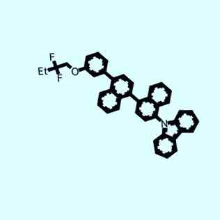 CCC(F)(F)COc1cccc(-c2ccc(-c3ccc(-n4c5ccccc5c5ccccc54)c4ccccc34)c3ccccc23)c1